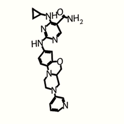 NC(=O)c1cnc(Nc2ccc3c(c2)OCC2CN(c4cccnc4)CCN32)nc1NC1CC1